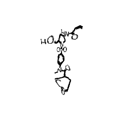 C=CC(=O)NC1CC(CO)N(S(=O)(=O)c2ccc(N(C)C(=O)C3CCOCC3)cc2)C1